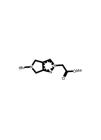 COC(=O)Cn1cc2c(n1)CN(C(C)(C)C)C2